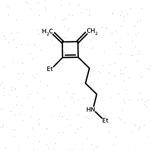 C=C1C(=C)C(CCCNCC)=C1CC